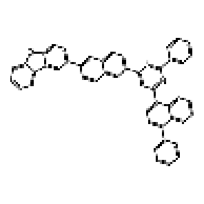 c1ccc(-c2nc(-c3ccc4cc(-c5ccc6oc7ccccc7c6c5)ccc4c3)cc(-c3ccc(-c4ccccc4)c4ccccc34)n2)cc1